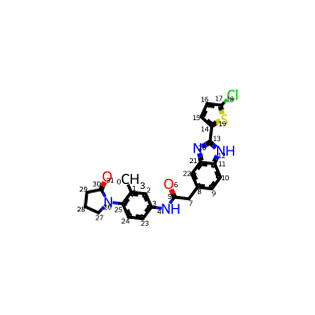 Cc1cc(NC(=O)Cc2ccc3[nH]c(-c4ccc(Cl)s4)nc3c2)ccc1N1CCCC1=O